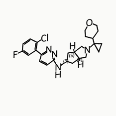 Fc1ccc(Cl)c(-c2ccc(N[C@H]3C[C@@H]4CN(C5(C6CCOCC6)CC5)C[C@@H]4C3)nn2)c1